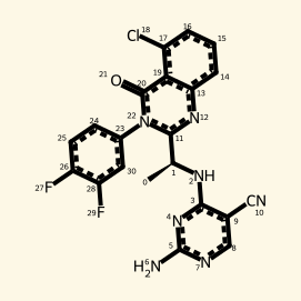 C[C@H](Nc1nc(N)ncc1C#N)c1nc2cccc(Cl)c2c(=O)n1-c1ccc(F)c(F)c1